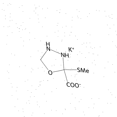 CSC1(C(=O)[O-])NNCO1.[K+]